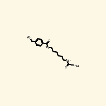 CCCCCCC(=O)NCCCCCCNC(=O)c1ccc(CC(C)C)cc1